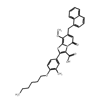 CCCCCCOc1ccc(-c2sc3c(OC)c(Cc4cccc5ccccc45)cc(=O)n3c2C(=O)O)cc1C